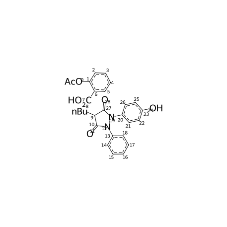 CC(=O)Oc1ccccc1C(=O)O.CCCCC1C(=O)N(c2ccccc2)N(c2ccc(O)cc2)C1=O